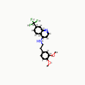 COc1ccc(CCNc2ccnc3cc(C(F)(F)F)ccc23)cc1OC